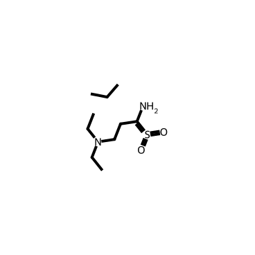 CCC.CCN(CC)CCC(N)=S(=O)=O